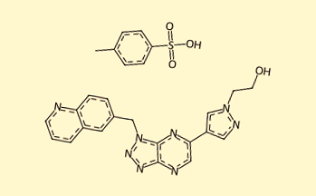 Cc1ccc(S(=O)(=O)O)cc1.OCCn1cc(-c2cnc3nnn(Cc4ccc5ncccc5c4)c3n2)cn1